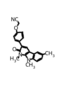 Cc1ccc2c(c1)c1cc(-c3ccc(OCC#N)cc3)c(=O)n(C)c1n2C